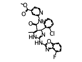 COC(=O)c1ccnc(NC(=O)C2=C(C)NC(Nc3nc4c(F)cccc4o3)=NC2c2ccccc2Cl)c1